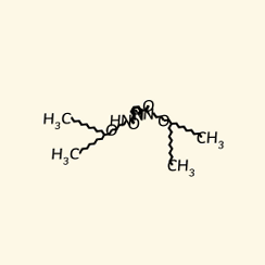 CCCCCCCCCCC(CCCCCCCC)COCCCNC(=O)c1cccc(C(=O)NCCCOCC(CCCCCCCC)CCCCCCCCCC)n1